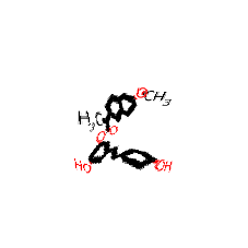 COc1ccc2cc(C(C)C(=O)Oc3cc(O)cc(/C=C/c4ccc(O)cc4)c3)ccc2c1